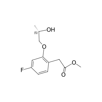 COC(=O)Cc1ccc(F)cc1OC[C@H](C)O